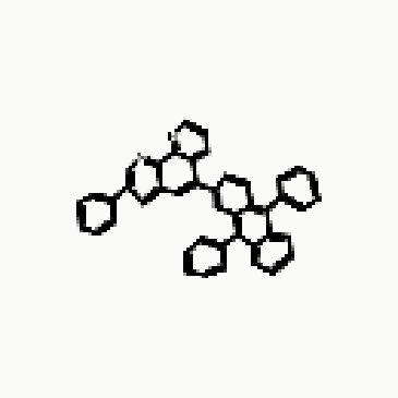 c1ccc(-c2cnc3c(c2)cc(-c2ccc4c(-c5ccccc5)c5ccccc5c(-c5ccccc5)c4c2)c2cccnc23)cc1